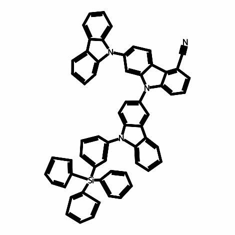 N#Cc1cccc2c1c1ccc(-n3c4ccccc4c4ccccc43)cc1n2-c1ccc2c(c1)c1ccccc1n2-c1cccc([Si](c2ccccc2)(c2ccccc2)c2ccccc2)c1